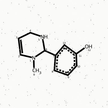 CN1C=CCNC1c1cccc(O)c1